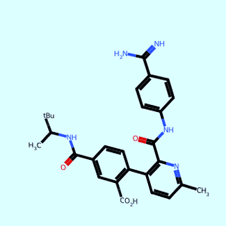 Cc1ccc(-c2ccc(C(=O)NC(C)C(C)(C)C)cc2C(=O)O)c(C(=O)Nc2ccc(C(=N)N)cc2)n1